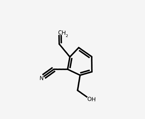 C=Cc1cccc(CO)c1C#N